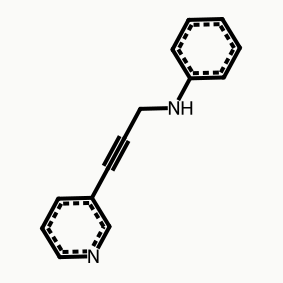 C(#Cc1cccnc1)CNc1ccccc1